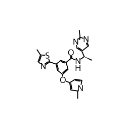 Cc1cc(Oc2cc(C(=O)N[C@H](C)c3cnc(C)nc3)cc(-c3ncc(C)s3)c2)ccn1